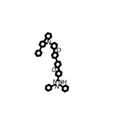 c1ccc(C2=NC(c3ccccc3)NC(c3ccc4c(c3)oc3cc(-c5ccc6c(c5)oc5ccc(-n7c8ccccc8c8ccc(-c9ccccc9)cc87)cc56)ccc34)=N2)cc1